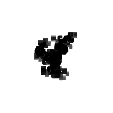 CC(C)[Si](O[C@H]1C/C(=C/C=C2CCC[C@]3(C)[C@@H]([C@H](C)CCC(=O)O)CC[C@@H]23)[C@@H](C)[C@H](O[Si](C(C)C)(C(C)C)C(C)C)C1)(C(C)C)C(C)C.NC(=O)N1CCCCC1